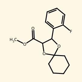 COC(=O)C1OC2(CCCCC2)OC1c1ccccc1F